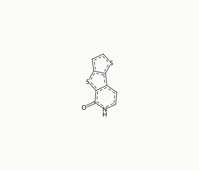 O=c1[nH]ccc2c1sc1ccsc12